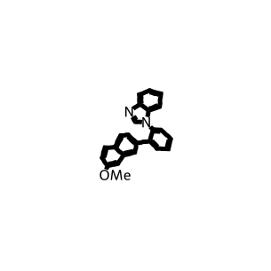 COc1ccc2ccc(-c3ccccc3-n3cnc4ccccc43)cc2c1